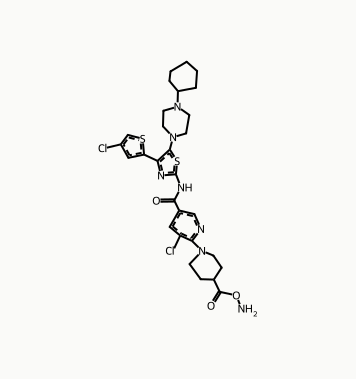 NOC(=O)C1CCN(c2ncc(C(=O)Nc3nc(-c4cc(Cl)cs4)c(N4CCN(C5CCCCC5)CC4)s3)cc2Cl)CC1